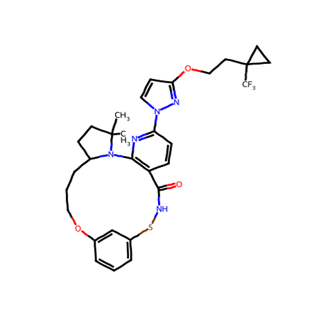 CC1(C)CCC2CCCOc3cccc(c3)SNC(=O)c3ccc(-n4ccc(OCCC5(C(F)(F)F)CC5)n4)nc3N21